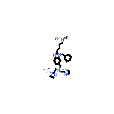 CCCN(CCC)CCCCc1nc2ccc(CN(Cc3ncc[nH]3)Cc3nccn3C)cc2n1Cc1ccccc1